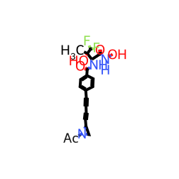 CC(=O)N1CC1C#CC#Cc1ccc(C(=O)NC(C(=O)NO)C(C)(O)C(F)F)cc1